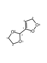 C1=C(C2OCCO2)OOC1